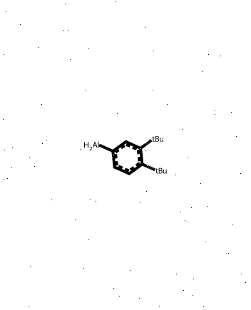 CC(C)(C)c1cc[c]([AlH2])cc1C(C)(C)C